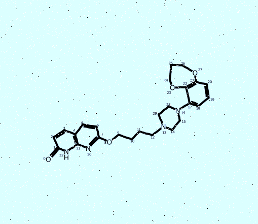 O=c1ccc2ccc(OCCCCN3CCN(c4cccc5c4OCCCO5)CC3)nc2[nH]1